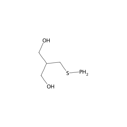 OCC(CO)CSP